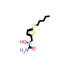 CCCCCSc1ccc(CN(O)C(N)=O)s1